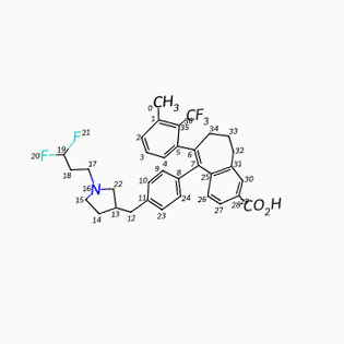 Cc1cccc(C2=C(c3ccc(CC4CCN(CCC(F)F)C4)cc3)c3ccc(C(=O)O)cc3CCC2)c1C(F)(F)F